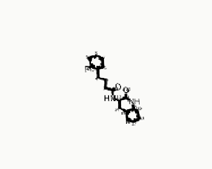 O=C(C[CH]Cc1ccccc1F)NC1Cc2ccccc2NC1=O